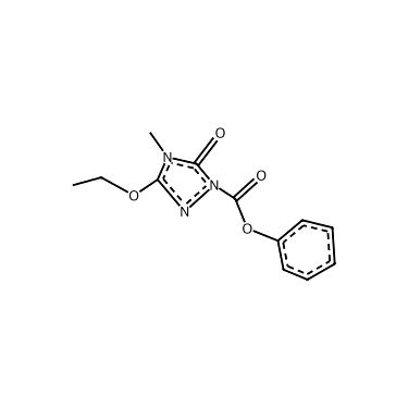 CCOc1nn(C(=O)Oc2ccccc2)c(=O)n1C